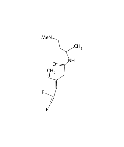 C=C/C(=C\C(F)=C\F)CC(=O)NC(C)CCNC